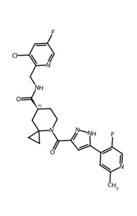 Cc1cc(-c2cc(C(=O)N3CC[C@H](C(=O)NCc4ncc(F)cc4Cl)CC34CC4)n[nH]2)c(F)cn1